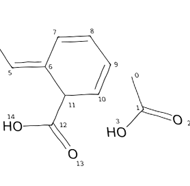 CC(=O)O.CC=C1C=CC=CC1C(=O)O